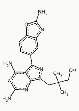 CC(C)(CO)Cn1nc(-c2ccc3oc(N)nc3c2)c2c(N)nc(N)nc21